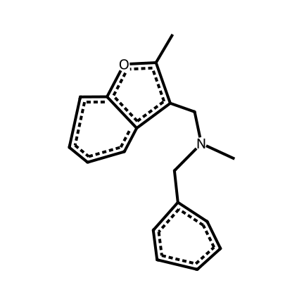 Cc1oc2ccccc2c1CN(C)Cc1ccccc1